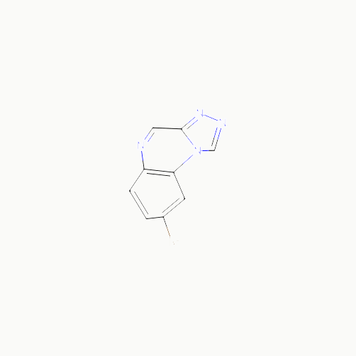 Brc1ccc2ncc3nncn3c2c1